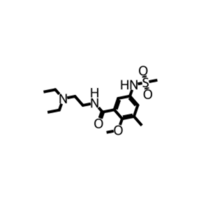 CCN(CC)CCNC(=O)c1cc(NS(C)(=O)=O)cc(C)c1OC